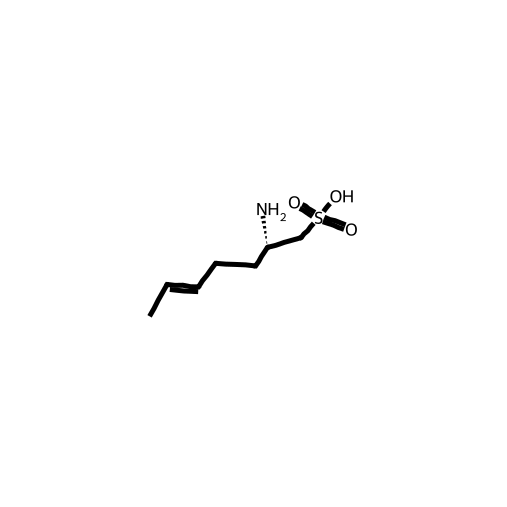 C/C=C/CC[C@H](N)CS(=O)(=O)O